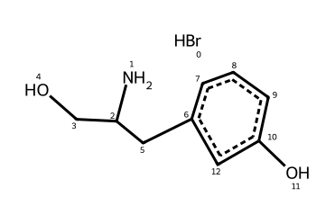 Br.NC(CO)Cc1cccc(O)c1